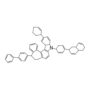 C1=CC(C2=CC3c4c(ccc5c4-c4ccccc4C(c4ccc(-c6ccccc6)cc4)CC5)N(C4C=CC(C5C=CC6CCC=CC6C5)=CC4)C3C=C2)CCC1